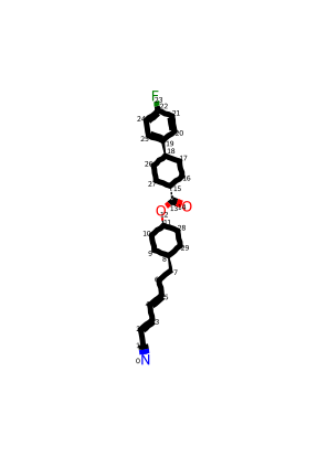 N#CC=CC=CCC[C@H]1CC[C@H](OC(=O)[C@H]2CC[C@H](c3ccc(F)cc3)CC2)CC1